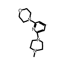 CN1CCN(c2c[c]cc(N3CCOCC3)n2)CC1